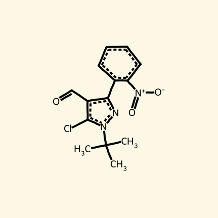 CC(C)(C)n1nc(-c2ccccc2[N+](=O)[O-])c(C=O)c1Cl